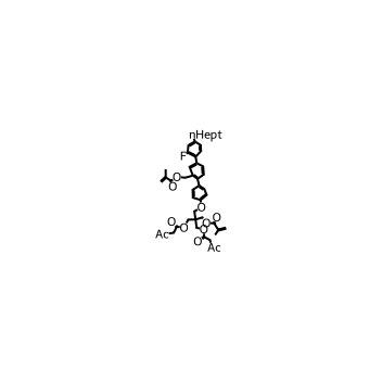 C=C(C)C(=O)OCc1cc(-c2ccc(CCCCCCC)cc2F)ccc1-c1ccc(OCC(COC(=O)CC(C)=O)(COC(=O)CC(C)=O)COC(=O)C(=C)C)cc1